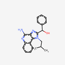 CC(C)Cn1c(C(O)c2ccccc2)nc2c(N)nc3ccccc3c21